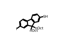 CCCCCCCCC1(CCCCCCCC)c2cc(S)ccc2-c2ccc(I)cc21